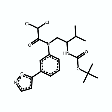 CC(C)C(CN(C(=O)C(Cl)Cl)c1cccc(-c2ccno2)c1)NC(=O)OC(C)(C)C